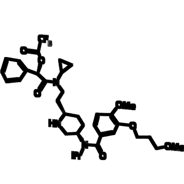 COCCCOc1cc(C(=O)N(C(C)C)[C@@H]2CC[C@H](CCN(C(=O)[C@H](OC(=O)C(F)(F)F)c3ccccc3)C3CC3)NC2)ccc1OC